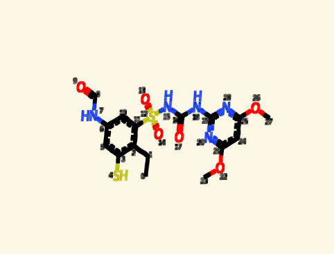 CCc1c(S)cc(NC=O)cc1S(=O)(=O)NC(=O)Nc1nc(OC)cc(OC)n1